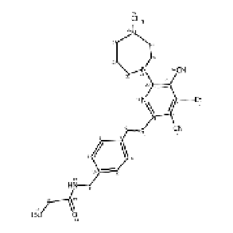 CCc1c(C#N)c(SCc2ccc(CNC(=O)[CH]C(C)(C)C)cc2)nc(N2CCCN(C)CC2)c1C#N